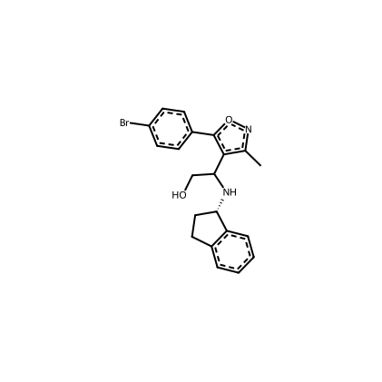 Cc1noc(-c2ccc(Br)cc2)c1C(CO)N[C@H]1CCc2ccccc21